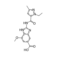 CCn1nc(C)cc1C(=O)Nc1nc2cc(C(=O)O)cc(OC)c2[nH]1